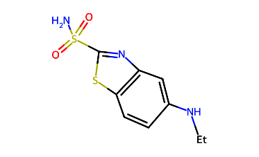 CCNc1ccc2sc(S(N)(=O)=O)nc2c1